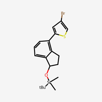 CC(C)(C)[Si](C)(C)OC1CCc2c(-c3cc(Br)cs3)cccc21